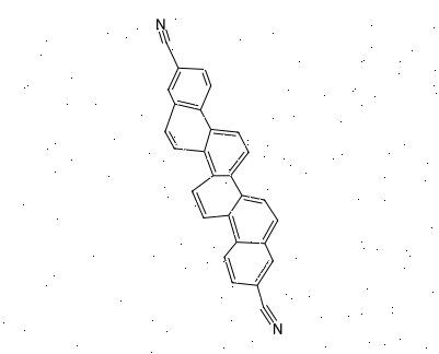 N#Cc1ccc2c(ccc3c2ccc2c4ccc5cc(C#N)ccc5c4ccc32)c1